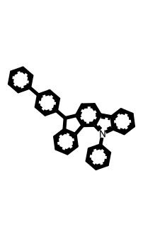 c1ccc(-c2ccc(C3c4ccccc4-c4c3ccc3c5ccccc5n(-c5ccccc5)c43)cc2)cc1